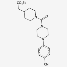 CCOC(=O)CC1CCN(C(=O)N2CCN(c3ccc(C#N)cc3)CC2)CC1